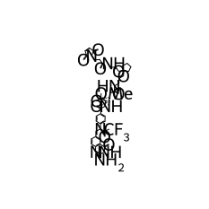 COC(=O)[C@H](CCC(=O)NCCOC1(OCCNC(=O)CCN2C(=O)C=CC2=O)CCCC1)NC(=O)c1ccc(N(Cc2ccc3nc(N)[nH]c(=O)c3c2)C(=O)C(F)(F)F)cc1